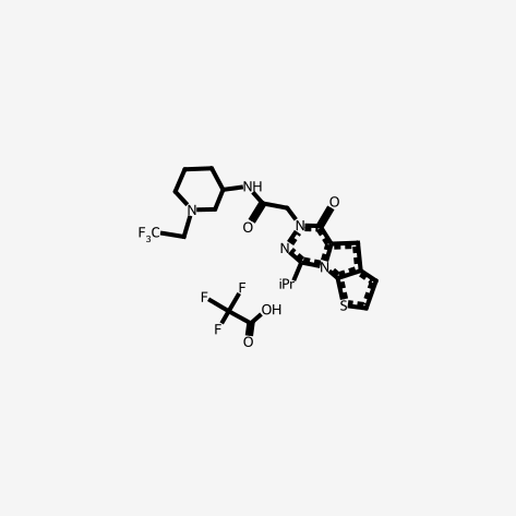 CC(C)c1nn(CC(=O)NC2CCCN(CC(F)(F)F)C2)c(=O)c2cc3ccsc3n12.O=C(O)C(F)(F)F